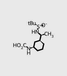 C[C@H](N[S@@+]([O-])C(C)(C)C)[C@H]1CCC[C@@H](NC(=O)O)C1